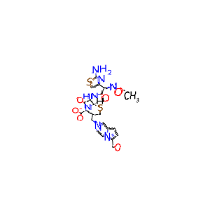 CCO/N=C(\C(=O)N[C@@H]1C(=O)N2C(C(=O)[O-])=C(Cn3cc[n+]4c(C=O)ccc-4c3)CS[C@H]12)c1csc(N)n1